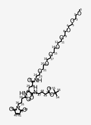 COCCOCCOCCOCCOCCOCCOCCOCCNC(=O)CC[C@H](NC(=O)CCCN1C(=O)C=CC1=O)C(=O)NCCCC(=O)OC(C)(C)C